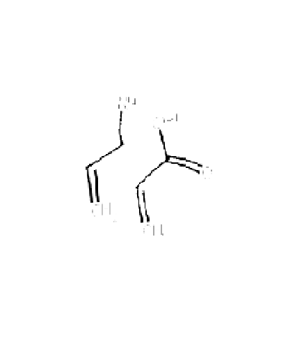 C=CC(=O)O.C=CCN